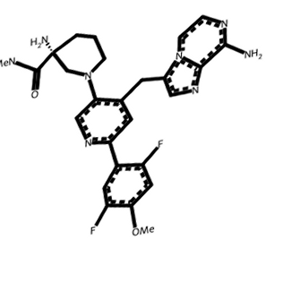 CNC(=O)[C@@]1(N)CCCN(c2cnc(-c3cc(F)c(OC)cc3F)cc2Cc2cnc3c(N)nccn23)C1